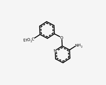 CCOC(=O)c1cccc(Oc2ncccc2N)c1